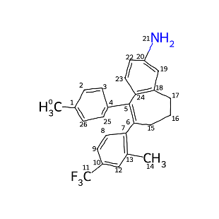 Cc1ccc(C2=C(c3ccc(C(F)(F)F)cc3C)CCCc3cc(N)ccc32)cc1